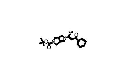 CSC(=CC(=O)c1ccccc1)N1C=C2CN(C(=O)OC(C)(C)C)CC2C1